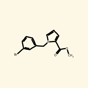 COC(=O)c1cccn1Cc1cccc(Br)c1